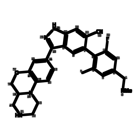 CNCc1cc(C)c(-c2cc3c(-c4ccc5c(c4)OCC4CNCCN54)n[nH]c3cc2C#N)c(F)c1